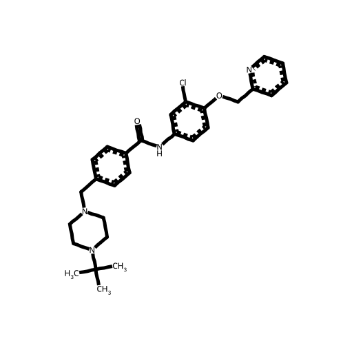 CC(C)(C)N1CCN(Cc2ccc(C(=O)Nc3ccc(OCc4ccccn4)c(Cl)c3)cc2)CC1